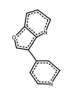 c1cnc2c(-c3ccncc3)coc2c1